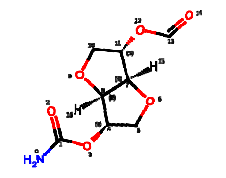 NC(=O)O[C@@H]1CO[C@H]2[C@@H]1OC[C@@H]2OC=O